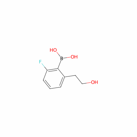 OCCc1cccc(F)c1B(O)O